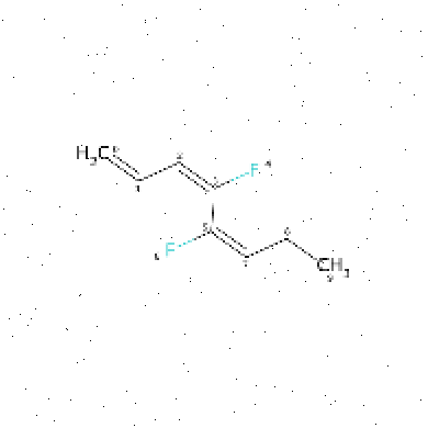 C=C/C=C(F)\C(F)=C/CC